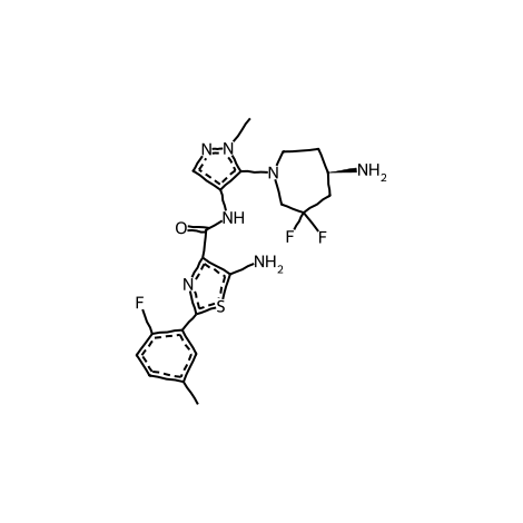 Cc1ccc(F)c(-c2nc(C(=O)Nc3cnn(C)c3N3CC[C@@H](N)CC(F)(F)C3)c(N)s2)c1